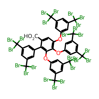 O=C(O)c1cc(Oc2cc(C(Br)(Br)Br)cc(C(Br)(Br)Br)c2)c(Oc2cc(C(Br)(Br)Br)cc(C(Br)(Br)Br)c2)c(Oc2cc(C(Br)(Br)Br)cc(C(Br)(Br)Br)c2)c1-c1cc(C(Br)(Br)Br)cc(C(Br)(Br)Br)c1